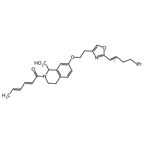 CC=CC=CC(=O)N1CCc2ccc(OCCc3coc(/C=C/CCC(C)C)n3)cc2C1C(=O)O